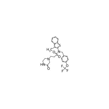 Cc1c(N(Cc2ccc(OC(F)(F)F)cc2)S(=O)(=O)CCN2CCNC(=O)C2)sc2ccccc12